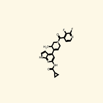 CC1CN(C(=O)c2ccnc(F)c2F)CC=C1c1cc(NC(=O)C2CC2)nc2[nH]ccc12